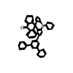 O=C1c2ccccc2C2(c3ccccc31)c1ccccc1N(c1ccccc1)c1ccc(-c3cc(-c4ccccc4)cc(-c4ccccc4)c3)cc12